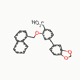 O=C(O)c1ccc(-c2ccc3c(c2)OCO3)cc1OCc1cccc2ccccc12